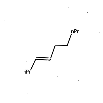 CCCCC/C=C/[C](C)C